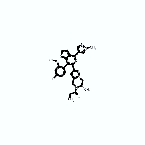 C=CC(=O)N1Cc2cc(-c3nc(-c4cnn(C)c4)c4ccsc4c3-c3ccc(F)cc3OC(C)C)nn2C[C@@H]1C